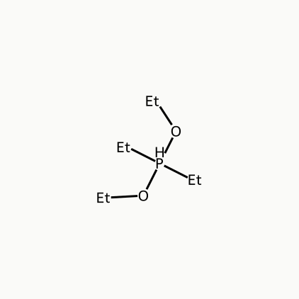 CCO[PH](CC)(CC)OCC